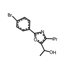 CC(C)c1nc(-c2ccc(Br)cc2)oc1C(C)O